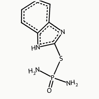 NP(N)(=O)Sc1nc2ccccc2[nH]1